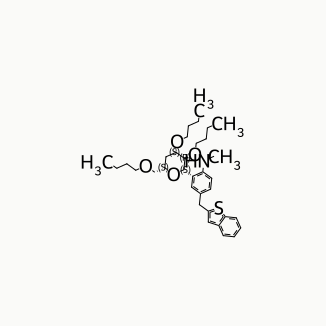 CCCCOC[C@@H]1C[C@H](OCCCC)[C@@H](OCCCC)[C@H](c2cc(Cc3cc4ccccc4s3)ccc2NC)O1